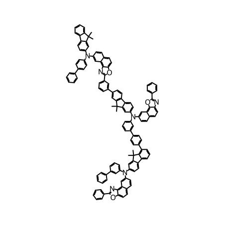 CC1(C)c2ccccc2-c2ccc(N(c3ccc(-c4ccccc4)cc3)c3ccc4ccc5oc(-c6cccc(-c7ccc8c(c7)C(C)(C)c7cc(N(c9cccc(-c%10ccc(-c%11cccc%12c%11C(C)(C)c%11cc(N(c%13cccc(-c%14ccccc%14)c%13)c%13ccc%14ccc%15oc(-c%16ccccc%16)nc%15c%14c%13)ccc%11-%12)cc%10)c9)c9ccc%10ccc%11nc(-c%12ccccc%12)oc%11c%10c9)ccc7-8)c6)nc5c4c3)cc21